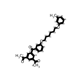 CC(=O)c1cc(C(C)=O)cc(C(=O)c2cccc(OCCCCCCOc3cccc(C)c3)c2)c1